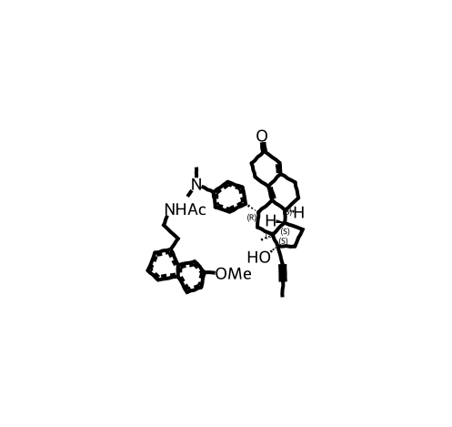 CC#C[C@]1(O)CC[C@H]2[C@@H]3CCC4=CC(=O)CCC4=C3[C@@H](c3ccc(N(C)C)cc3)C[C@@]21C.COc1ccc2cccc(CCNC(C)=O)c2c1